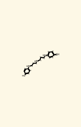 Sc1ccc(NCCCNCCCNc2ccc(S)cc2)cc1